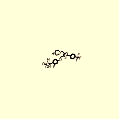 CN1CCN(Cc2nc(-c3ccc(C(F)(F)F)cc3)sc2COc2ccc(-c3noc(=O)[nH]3)c(F)c2)CC1